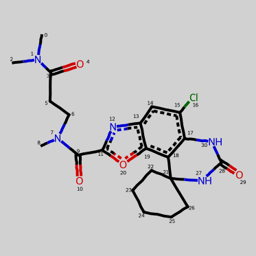 CN(C)C(=O)CCN(C)C(=O)c1nc2cc(Cl)c3c(c2o1)C1(CCCCC1)NC(=O)N3